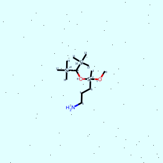 CO[Si](C)(CCCN)OC([Si](C)(C)C)[Si](C)(C)C